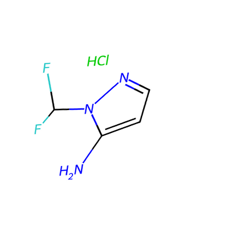 Cl.Nc1ccnn1C(F)F